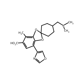 Cc1c(C(=O)O)cc(-c2cocn2)c2c1OC1(CCC(CN(C)C)CC1)O2